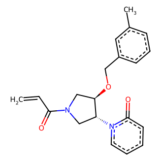 C=CC(=O)N1C[C@@H](n2ccccc2=O)[C@H](OCc2cccc(C)c2)C1